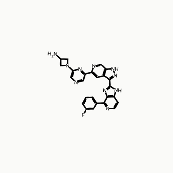 NC1CN(c2cncc(-c3cc4c(-c5nc6c(-c7cccc(F)c7)nccc6[nH]5)n[nH]c4cn3)n2)C1